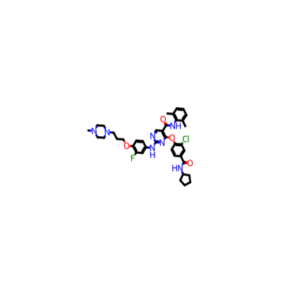 Cc1cccc(C)c1NC(=O)c1cnc(Nc2ccc(OCCCN3CCN(C)CC3)c(F)c2)nc1Oc1ccc(C(=O)NC2CCCC2)cc1Cl